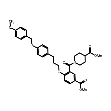 COC(=O)c1ccc(OCCCc2ccc(OCc3ccc(OC(F)(F)F)cc3)cc2)c(C(=O)N2CCC(C(=O)OC)CC2)c1